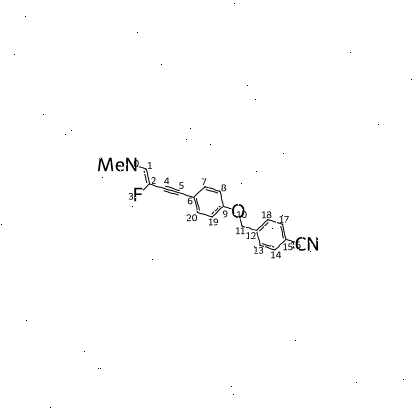 CN/C=C(\F)C#Cc1ccc(OCc2ccc(C#N)cc2)cc1